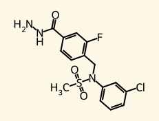 CS(=O)(=O)N(Cc1ccc(C(=O)NN)cc1F)c1cccc(Cl)c1